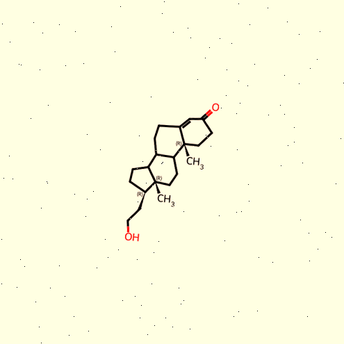 C[C@]12CCC(=O)C=C1CCC1C2CC[C@@]2(C)C1CC[C@@H]2CCO